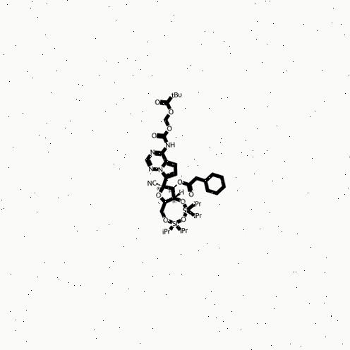 CC(C)[Si]1(C(C)C)OCC2O[C@@](C#N)(c3ccc4c(NC(=O)OCOC(=O)C(C)(C)C)ncnn34)[C@H](OC(=O)CC3CCCCC3)[C@@H]2O[Si](C(C)C)(C(C)C)O1